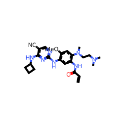 C=CC(=O)Nc1cc(Nc2ncc(C#N)c(NC3CCC3)n2)c(OC)cc1N(C)CCN(C)C